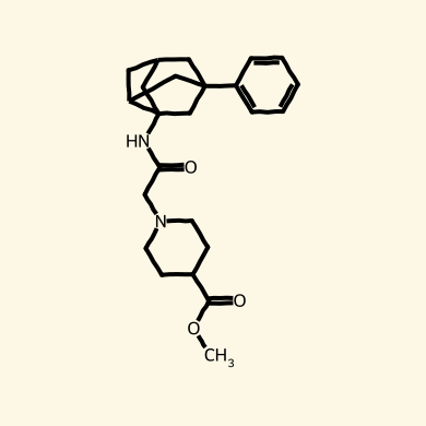 COC(=O)C1CCN(CC(=O)NC23CC4CC2CC(c2ccccc2)(C4)C3)CC1